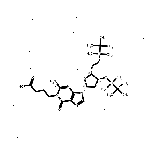 CC(C)(C)[Si](C)(C)OC[C@H]1O[C@@H](n2cnc3c(=O)n(CCCC(=O)O)c(N)nc32)C[C@@H]1O[Si](C)(C)C(C)(C)C